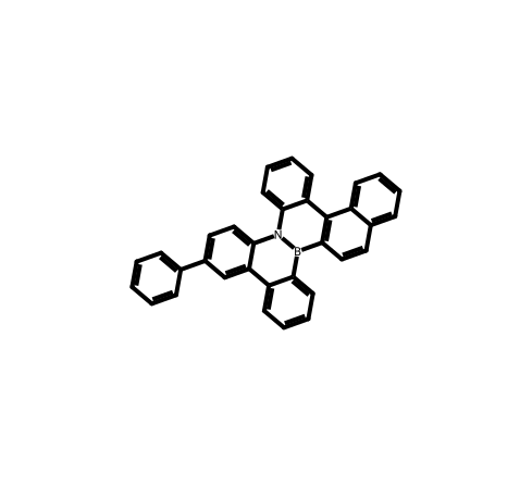 c1ccc(-c2ccc3c(c2)-c2ccccc2B2c4ccc5ccccc5c4-c4ccccc4N23)cc1